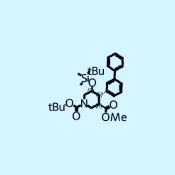 COC(=O)[C@H]1CN(C(=O)OC(C)(C)C)C[C@@H](O[Si](C)(C)C(C)(C)C)[C@@H]1c1cccc(-c2ccccc2)c1